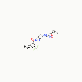 Cc1cc(C(=O)NC[C@H]2CC[C@H](NCc3cc(C)on3)CC2)cc(C(F)(F)F)c1